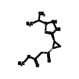 COC(=O)CC(=O)[C@H]1C[C@@H]1C1=CN(C(C)C)NN1